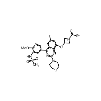 COc1ncc(-c2nc(N3CCOCC3)nc3c(OC4CN(C(=O)C(C)C)C4)cc(F)cc23)cc1NS(C)(=O)=O